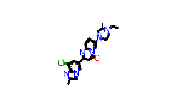 CCN1CCN(c2ccc3nc(-c4cc(Cl)c5nc(C)cn5c4)cc(=O)n3c2)C[C@H]1C